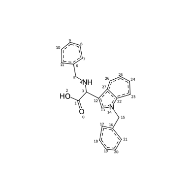 O=C(O)C(NCc1ccccc1)c1cn(Cc2ccccc2)c2ccccc12